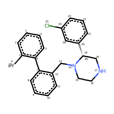 CC(C)c1ccccc1-c1ccccc1CN1CCNC[C@H]1c1cccc(Cl)c1